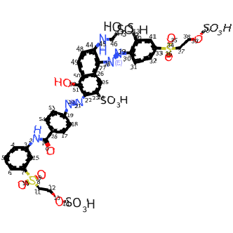 O=C(Nc1cccc(S(=O)(=O)CCOS(=O)(=O)O)c1)c1ccc(/N=N/c2c(S(=O)(=O)O)cc3c(/N=N/c4ccc(S(=O)(=O)CCOS(=O)(=O)O)cc4S(=O)(=O)O)c(NCS(=O)(=O)O)ccc3c2O)cc1